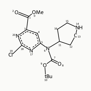 COC(=O)c1cc(N(C(=O)OC(C)(C)C)C2CCNCC2)nc(Cl)n1